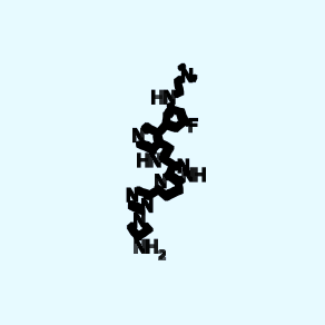 CN(C)CCNc1cc(F)cc(-c2cncc3[nH]c(-c4n[nH]c5ccc(-c6cncc(N7CC(N)C7)n6)nc45)cc23)c1